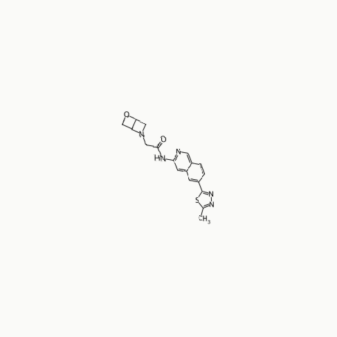 Cc1nnc(-c2ccc3cnc(NC(=O)CN4CC5OCC54)cc3c2)s1